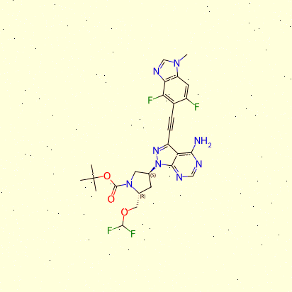 Cn1cnc2c(F)c(C#Cc3nn([C@H]4C[C@H](COC(F)F)N(C(=O)OC(C)(C)C)C4)c4ncnc(N)c34)c(F)cc21